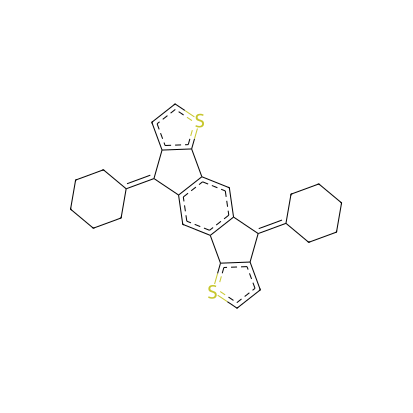 c1cc2c(s1)-c1cc3c(cc1C2=C1CCCCC1)-c1sccc1C3=C1CCCCC1